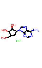 Cl.Nc1ncnc2c1ncn2C1CC(CO)C(O)C1O